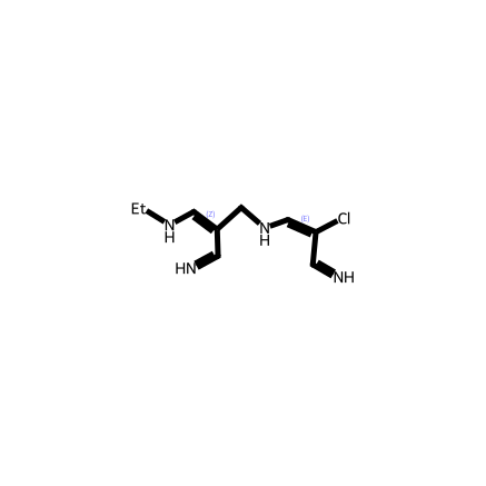 CCN/C=C(\C=N)CN/C=C(/Cl)C=N